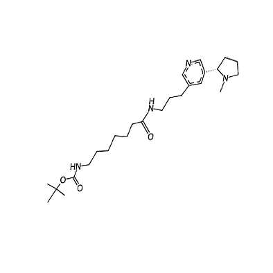 CN1CCC[C@H]1c1cncc(CCCNC(=O)CCCCCCNC(=O)OC(C)(C)C)c1